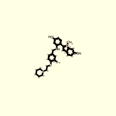 Cn1c(-c2ccc(O)cc2NCc2ccc(OCCN3CCCCC3)c(F)c2)cc2ccc(O)cc21